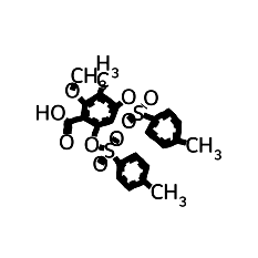 COc1c(C)c(OS(=O)(=O)c2ccc(C)cc2)cc(OS(=O)(=O)c2ccc(C)cc2)c1C(=O)O